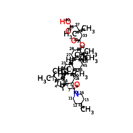 C=C(C)[C@@H]1CC[C@]2(CC(=O)N3CCC(C)CC3)CC[C@]3(C)[C@H](CC[C@@H]4[C@@]5(C)CC[C@H](OC(=O)CC(C)(C)CC(=O)O)C(C)(C)[C@@H]5CC[C@]43C)[C@@H]12